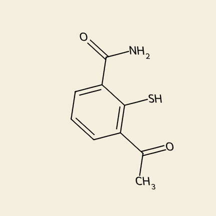 CC(=O)c1cccc(C(N)=O)c1S